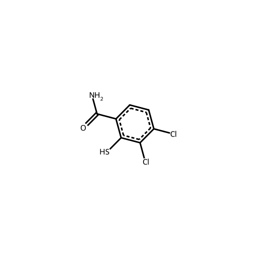 NC(=O)c1ccc(Cl)c(Cl)c1S